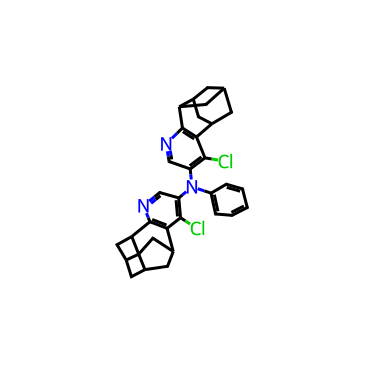 Clc1c(N(c2ccccc2)c2cnc3c(c2Cl)C2CC4CC5CC3C45C2)cnc2c1C1CC3CC(C1)C2C3